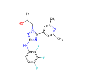 CCC(O)Cn1nc(Nc2ccc(F)c(F)c2F)nc1-c1cc(C)nc(C)c1